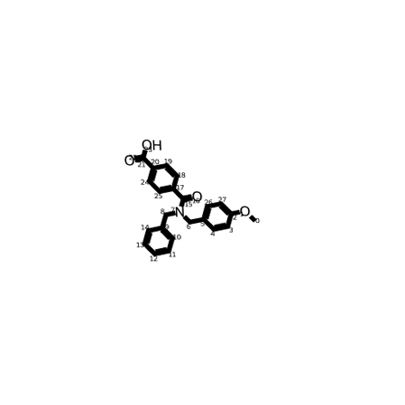 COc1ccc(CN(Cc2ccccc2)C(=O)c2ccc(C(=O)O)cc2)cc1